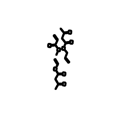 C=CC(=O)OC.C=CCOC(=O)CC(C)=O.C=COC(=O)CC(C)=O